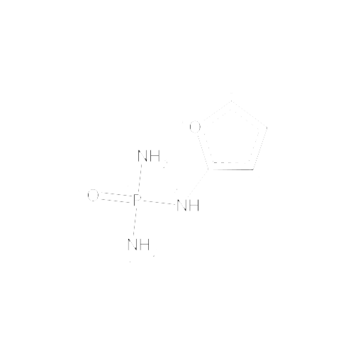 NP(N)(=O)Nc1ccco1